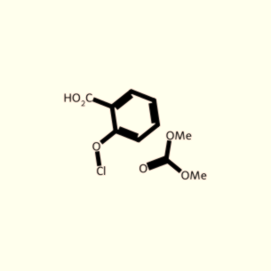 COC(=O)OC.O=C(O)c1ccccc1OCl